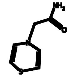 NC(=O)CN1C=CSC=C1